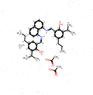 CC(=O)[O-].CC(=O)[O-].CCCc1cc(C=Nc2cccc3cccc(N=Cc4cc(CCC)cc(C(C)C)c4O)c23)c(O)c(C(C)C)c1.[Co+2]